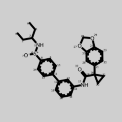 CCC(CC)N[S+]([O-])c1ccc(-c2cccc(NC(=O)C3(c4ccc5c(c4)OCO5)CC3)c2)cc1